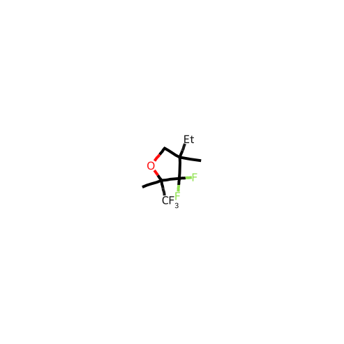 CCC1(C)COC(C)(C(F)(F)F)C1(F)F